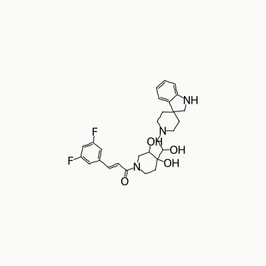 O=C(/C=C/c1cc(F)cc(F)c1)N1CCC(O)(C(O)CN2CCC3(CC2)CNc2ccccc23)C(O)C1